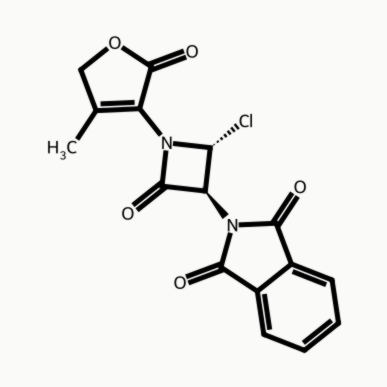 CC1=C(N2C(=O)[C@H](N3C(=O)c4ccccc4C3=O)[C@H]2Cl)C(=O)OC1